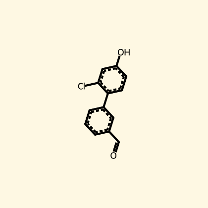 O=Cc1cccc(-c2ccc(O)cc2Cl)c1